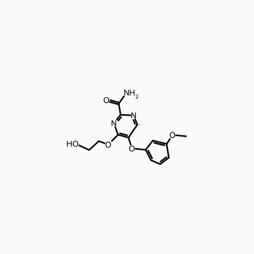 COc1cccc(Oc2[c]nc(C(N)=O)nc2OCCO)c1